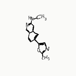 CNc1cc2cc(-c3cnc(C)o3)ccc2cn1